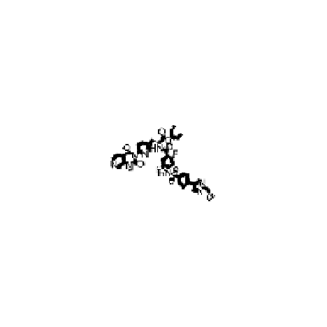 CCC(CC)OC(=O)[C@H](Cc1ccc(-n2c(=O)c3ccncc3n(C)c2=O)nc1)NC(=O)c1cc(F)c(NS(=O)(=O)c2ccc(-c3cnc(COC)nc3)cc2)cc1F